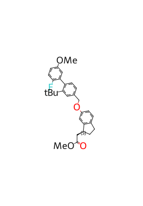 COC(=O)C[C@@H]1CCc2ccc(OCc3ccc(-c4cc(OC)ccc4F)c(C(C)(C)C)c3)cc21